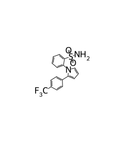 NS(=O)(=O)c1ccccc1-n1cccc1-c1ccc(C(F)(F)F)cc1